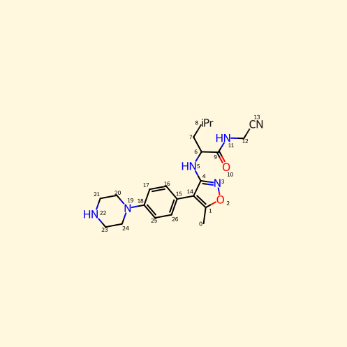 Cc1onc(NC(CC(C)C)C(=O)NCC#N)c1-c1ccc(N2CCNCC2)cc1